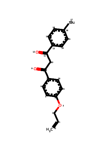 C=CCOc1ccc(C(=O)CC(=O)c2ccc(C(C)(C)C)cc2)cc1